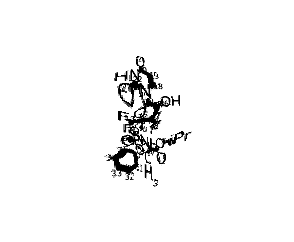 CC(C)OC(=O)[C@H](C)NP(=O)(OC[C@@]1(C(F)F)O[C@@H](n2ccc(=O)[nH]c2=O)[C@H](O)[C@@H]1F)Oc1ccccc1